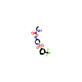 CCNC(=O)ON=C1CCN(S(=O)(=O)c2cccc(C(F)(F)F)c2)CC1